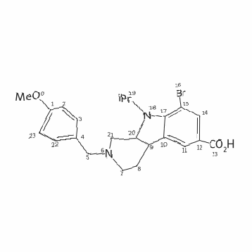 COc1ccc(CN2CCC3c4cc(C(=O)O)cc(Br)c4N(C(C)C)C3C2)cc1